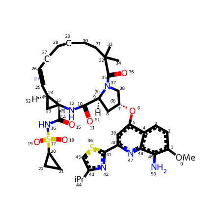 COc1ccc2c(O[C@@H]3C[C@H]4C(=O)N[C@]5(C(=O)NS(=O)(=O)C6CC6)C[C@H]5/C=C\CCCCCC(C)(C)C(=O)N4C3)cc(-c3nc(C(C)C)cs3)nc2c1N